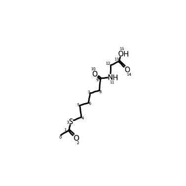 CC(=O)SCCCCCC(=O)NCC(=O)O